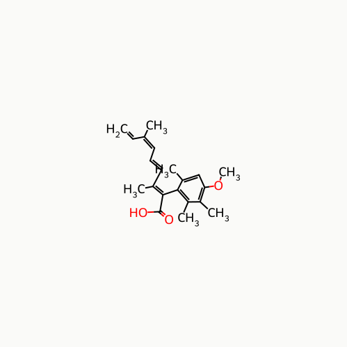 C=CC(C)=CC=CC(C)=C(C(=O)O)c1c(C)cc(OC)c(C)c1C